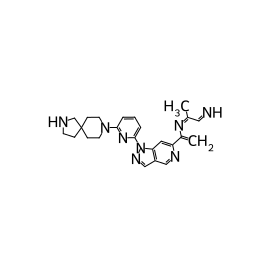 C=C(/N=C(/C)C=N)c1cc2c(cn1)cnn2-c1cccc(N2CCC3(CCNC3)CC2)n1